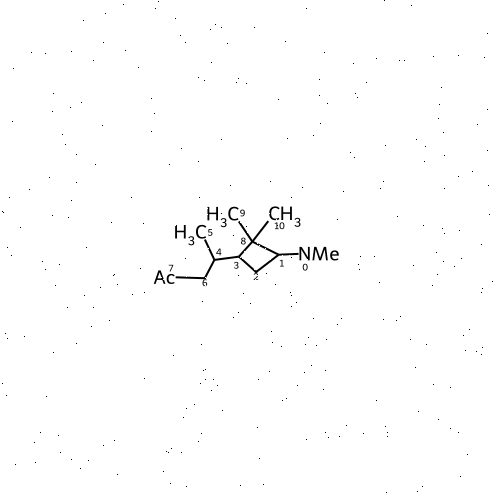 CNC1CC(C(C)CC(C)=O)C1(C)C